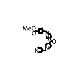 COC(=O)c1ccc(CN2CCN(C(=O)C3CCN(Cc4ccncc4)CC3)CC2)cc1